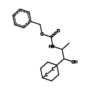 CC(NC(=O)OCc1ccccc1)C(O)C12CCC(CC1)CC2